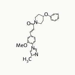 COc1cc(C=CC(=O)N2CCC(Oc3ccccc3)CC2)ccc1-n1cnc(C)c1